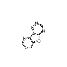 c1cnc2c(c1)oc1ncnnc12